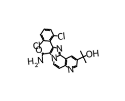 CC(C)(O)c1cnc2ccn3c(C(N)=O)c(-c4c(Cl)cccc4Cl)nc3c2c1